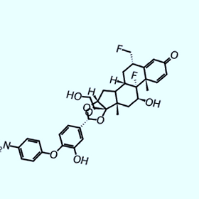 C[C@]12C=CC(=O)C=C1[C@@H](CF)C[C@H]1C3C[C@H]4O[C@@H](c5ccc(Oc6ccc(N)cc6)c(O)c5)O[C@@]4(C(=O)CO)[C@@]3(C)C[C@H](O)[C@@]12F